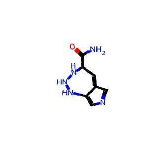 NC(=O)C1C=C2C=NC=C2NNN1